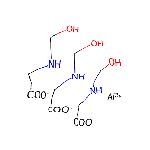 O=C([O-])CNCO.O=C([O-])CNCO.O=C([O-])CNCO.[Al+3]